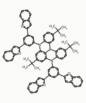 CC(C)(C)c1ccc2c(c1)B1c3cc(C(C)(C)C)ccc3N(c3cc(-c4cc5ccccc5o4)cc(-c4cc5ccccc5o4)c3)c3cc(C(C)(C)C)cc(c31)N2c1cc(-c2cc3ccccc3o2)cc(-c2cc3ccccc3o2)c1